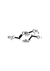 C=CC.CCC.CCCCC[O]